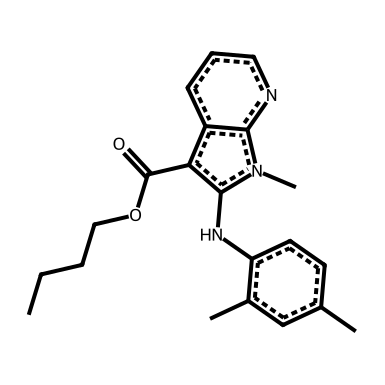 CCCCOC(=O)c1c(Nc2ccc(C)cc2C)n(C)c2ncccc12